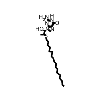 CCCCCCCCCCCCCCCCCCSC(C)C(O)n1cnc2c(=O)[nH]c(N)nc21